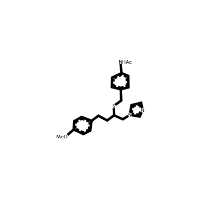 COc1ccc(CCC(Cn2ccnc2)SCc2ccc(NC(C)=O)cc2)cc1